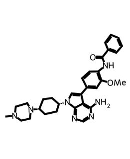 COc1cc(-c2cn([C@H]3CC[C@H](N4CCN(C)CC4)CC3)c3ncnc(N)c23)ccc1NC(=O)c1ccccc1